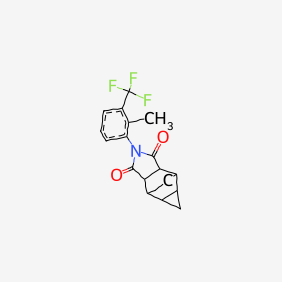 Cc1c(N2C(=O)C3C4CCC(C5CC54)C3C2=O)cccc1C(F)(F)F